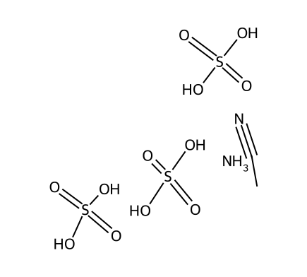 CC#N.N.O=S(=O)(O)O.O=S(=O)(O)O.O=S(=O)(O)O